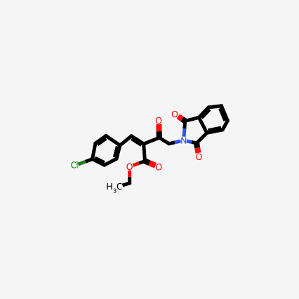 CCOC(=O)C(=Cc1ccc(Cl)cc1)C(=O)CN1C(=O)c2ccccc2C1=O